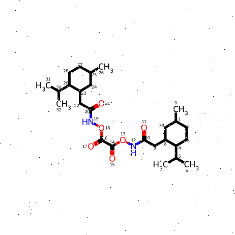 CC1CCC(C(C)C)C(CC(=O)NOC(=O)C(=O)ONC(=O)CC2CC(C)CCC2C(C)C)C1